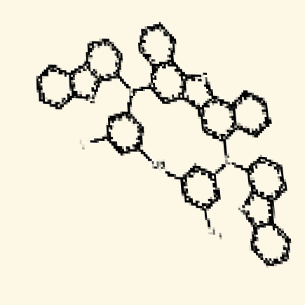 Cc1cc(C)cc(N(c2cc3c4cc(N(c5cc(C)cc(C)c5)c5cccc6c5oc5ccccc56)c5ccccc5c4oc3c3ccccc23)c2cccc3c2oc2ccccc23)c1